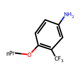 CCCOc1ccc(N)cc1C(F)(F)F